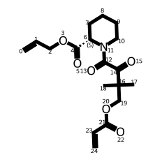 C=CCOC(=O)[C@@H]1CCCCN1C(=O)C(=O)C(C)(C)COC(=O)C=C